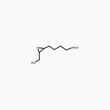 CCCCCCCCCC1OC1CO